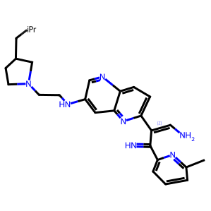 Cc1cccc(C(=N)/C(=C\N)c2ccc3ncc(NCCN4CCC(CC(C)C)C4)cc3n2)n1